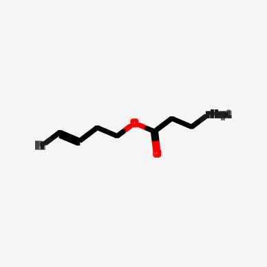 CC/C=C/CCOC(=O)CCCCCCCCC